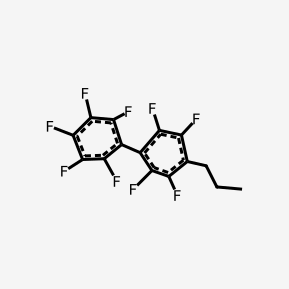 CCCc1c(F)c(F)c(-c2c(F)c(F)c(F)c(F)c2F)c(F)c1F